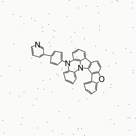 c1cncc(-c2ccc(N3c4ccccc4-n4c5c3cccc5c3ccc5oc6ccccc6c5c34)cc2)c1